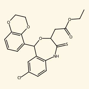 CCOC(=O)CC1OC(c2cccc3c2OCCO3)c2cc(Cl)ccc2NC1=S